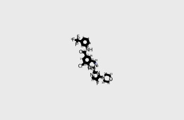 O=C(Nc1cccc(C(F)(F)F)c1)c1cc(Cl)c(O)c(/C=N\Nc2ncc(F)c(N3CCOCC3)n2)c1